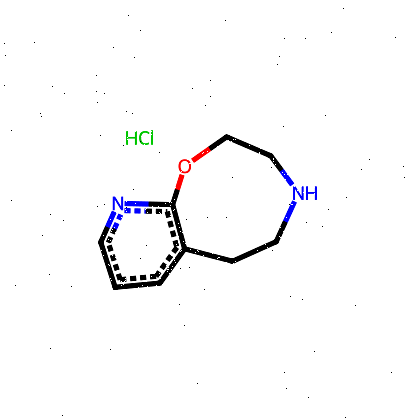 Cl.c1cnc2c(c1)CCNCCO2